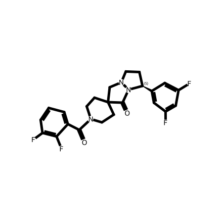 O=C(c1cccc(F)c1F)N1CCC2(CC1)CN1CC[C@@H](c3cc(F)cc(F)c3)N1C2=O